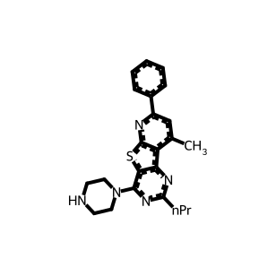 CCCc1nc(N2CCNCC2)c2sc3nc(-c4ccccc4)cc(C)c3c2n1